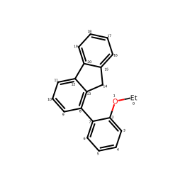 CCOc1ccccc1-c1cccc2c1Cc1ccccc1-2